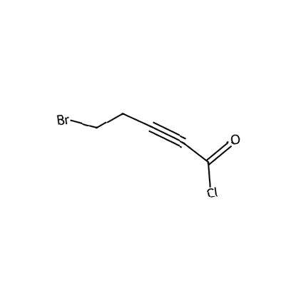 O=C(Cl)C#CCCBr